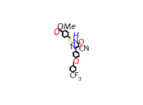 COC(=O)c1ccc(CSc2nc(-c3ccc(OCc4ccc(C(F)(F)F)cc4)cc3)c(C#N)c(=O)[nH]2)cc1